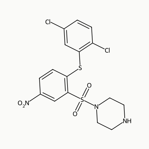 O=[N+]([O-])c1ccc(Sc2cc(Cl)ccc2Cl)c(S(=O)(=O)N2CCNCC2)c1